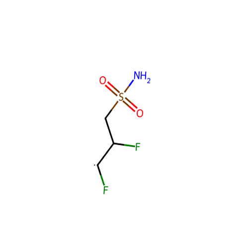 NS(=O)(=O)CC(F)[CH]F